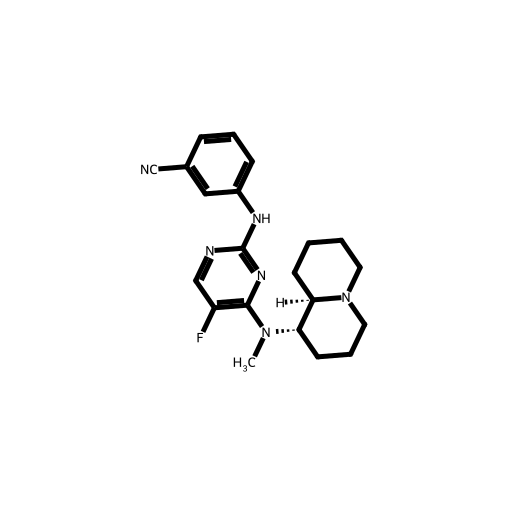 CN(c1nc(Nc2cccc(C#N)c2)ncc1F)[C@H]1CCCN2CCCC[C@H]12